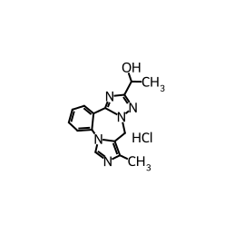 Cc1ncn2c1Cn1nc(C(C)O)nc1-c1ccccc1-2.Cl